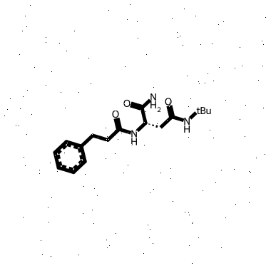 CC(C)(C)NC(=O)C[C@H](NC(=O)CCc1ccccc1)C(N)=O